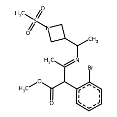 COC(=O)C(C(C)=NC(C)C1CN(S(C)(=O)=O)C1)c1ccccc1Br